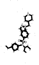 CCc1ccc(N(C(CC)CC)S(=O)(=O)c2ccc3c(cnn3CC3CCOCC3)c2)cc1